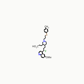 COc1ccc2nccc([C@@H](F)CCC3CCN(CCCSc4ccc(C)cc4)CC3CCC(=O)O)c2c1